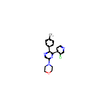 FC(F)(F)c1ccc(-c2ncc(N3CCOCC3)nc2-c2ccncc2Cl)cc1